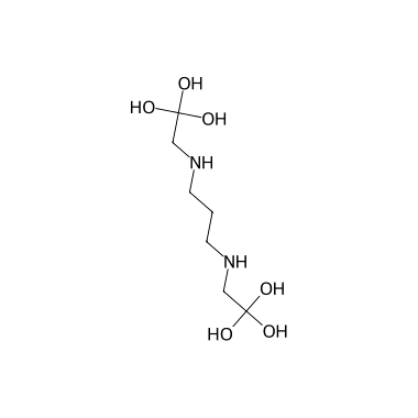 OC(O)(O)CNCCCNCC(O)(O)O